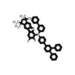 CC1(C)CC(C)(C)c2cc3c(cc21)sc1c(N(c2ccc(-c4ccc(-c5ccccc5)c(-c5ccccc5)c4)cc2)c2cccc(-c4ccccc4)c2)c(F)c(F)cc13